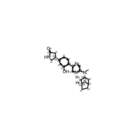 CN(c1cnc(-c2ccc([C@H]3CNC(=O)C3)cc2O)cn1)[C@@H]1CC2CC[C@H](N2)[C@@H]1F